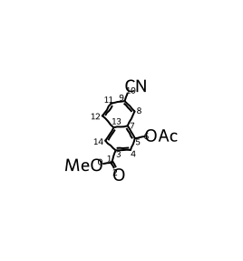 COC(=O)c1cc(OC(C)=O)c2cc(C#N)ccc2c1